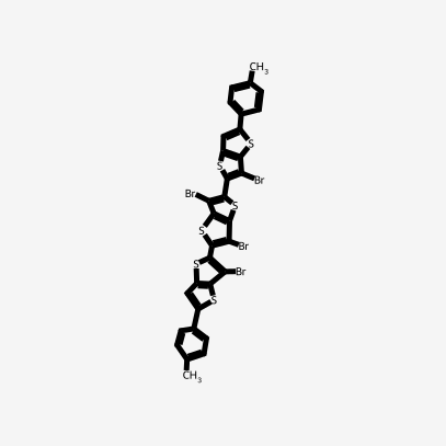 Cc1ccc(-c2cc3sc(-c4sc5c(Br)c(-c6sc7cc(-c8ccc(C)cc8)sc7c6Br)sc5c4Br)c(Br)c3s2)cc1